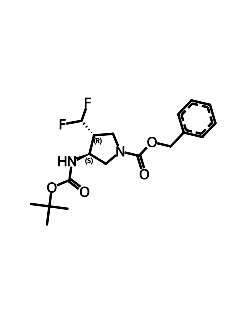 CC(C)(C)OC(=O)N[C@@H]1CN(C(=O)OCc2ccccc2)C[C@H]1C(F)F